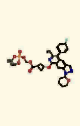 CC(C)c1nc(O[C@H]2C[C@H](C(=O)OCOP(=O)(OC(C)(C)C)OC(C)(C)C)C2)c2cc3c(cnn3C3CCCCO3)cc2c1-c1ccc(F)cc1